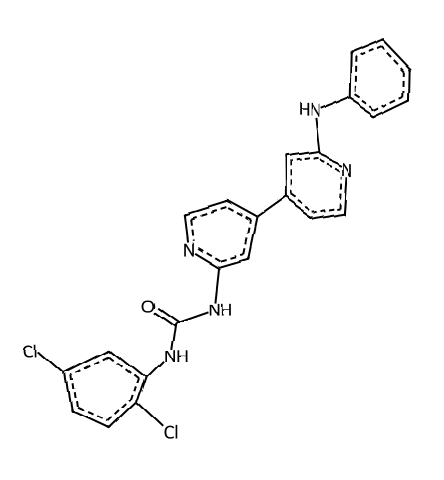 O=C(Nc1cc(-c2ccnc(Nc3ccccc3)c2)ccn1)Nc1cc(Cl)ccc1Cl